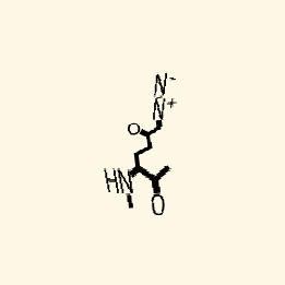 CNC(CCC(=O)C=[N+]=[N-])C(C)=O